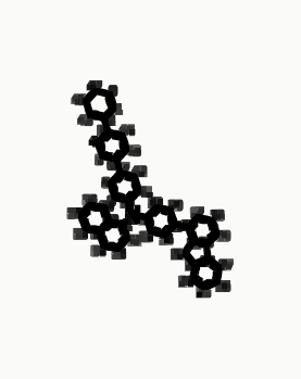 C1=CC(c2ccc(-c3ccc(N(c4ccc(-c5cccc6c5Cc5ccccc5-6)cc4)c4cccc5ccccc45)cc3)cc2)=CCC1